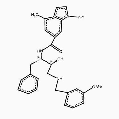 CCCn1ccc2c(C)cc(C(=O)N[C@@H](Cc3ccccc3)[C@@H](O)CNCc3cccc(OC)c3)cc21